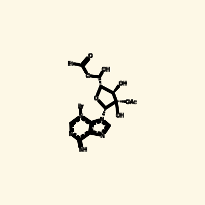 CCC(=O)OC(O)[C@H]1O[C@@H](n2cnc3c(=N)ncn(Br)c32)[C@@](O)(OC(C)=O)[C@@H]1O